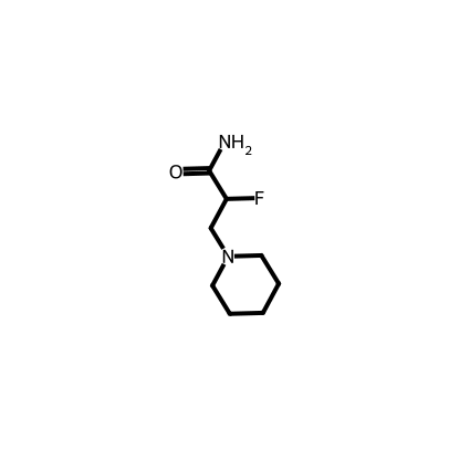 NC(=O)C(F)CN1CCCCC1